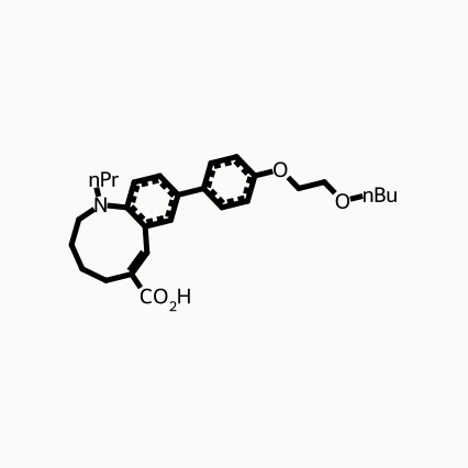 CCCCOCCOc1ccc(-c2ccc3c(c2)C=C(C(=O)O)CCCCN3CCC)cc1